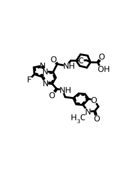 CN1C(=O)COc2ccc(CNC(=O)c3cc(C(=O)NCC45CCC(C(=O)O)(CC4)CC5)n4ncc(F)c4n3)cc21